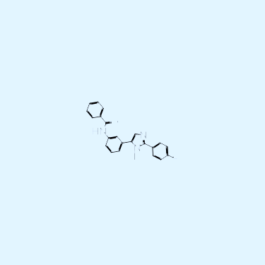 O=C(Nc1cccc(-c2cnc(-c3ccc(F)cc3)[nH]2)c1)c1ccccc1